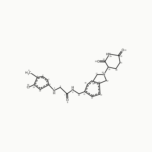 Cc1ccc(NCC(=O)NCc2ccc3c(c2)CN(C2CCC(=O)NC2=O)C3)cc1Cl